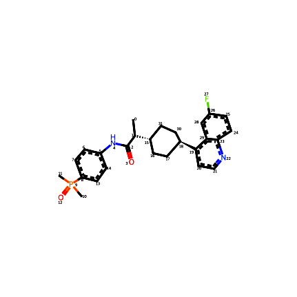 CC(C(=O)Nc1ccc(P(C)(C)=O)cc1)[C@H]1CC[C@H](c2ccnc3ccc(F)cc32)CC1